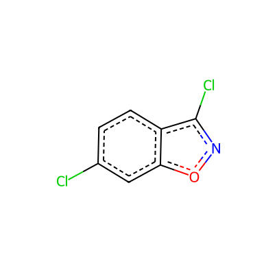 Clc1ccc2c(Cl)noc2c1